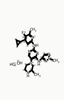 Cc1nc(Nc2ncc(N3CCNC(C)C3)c(Nc3cnn(C)n3)n2)cc(C2CC2)c1F.Cl.Cl